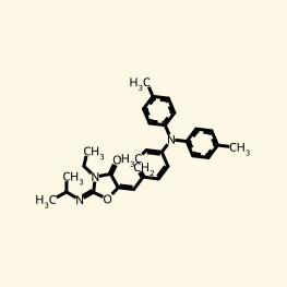 C=C(/C=C\C(=C/C)N(c1ccc(C)cc1)c1ccc(C)cc1)/C=C1/O/C(=N/C(C)C)N(CC)C1=O